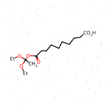 CCOC(C)(OCC)OC(=O)CCCCCCCCC(=O)O